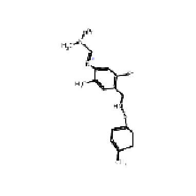 CCCN(C)/C=N/c1cc(CC)c(CNSC2=CC=C(C)CC2)cc1C